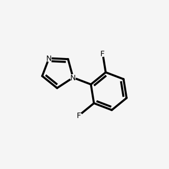 Fc1cccc(F)c1-n1ccnc1